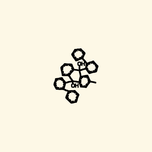 Cc1ccc2c(c1)C(O)(c1ccccc1-c1ccccc1)c1ccccc1C2(O)c1ccccc1-c1ccccc1